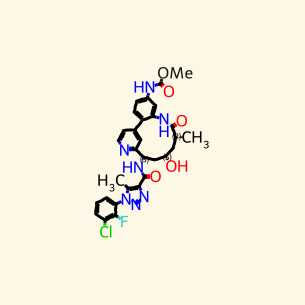 COC(=O)Nc1ccc2c(c1)NC(=O)[C@H](C)C[C@H](O)C[C@H](NC(=O)c1nnn(-c3cccc(Cl)c3F)c1C)c1cc-2ccn1